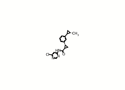 C[C@H]1CC1c1cccc([C@H]2CC2C(=O)Nc2cc(Cl)ncn2)c1